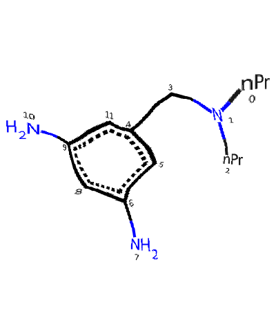 CCCN(CCC)Cc1cc(N)cc(N)c1